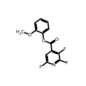 COc1ccccc1OC(=O)c1cc(F)nc(F)c1F